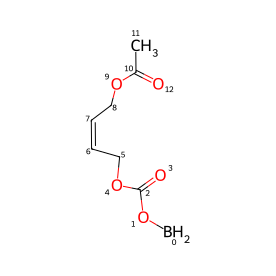 BOC(=O)OC/C=C\COC(C)=O